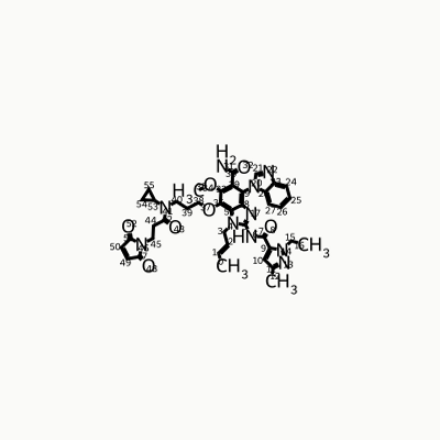 CC=CCn1c(NC(=O)c2cc(C)nn2CC)nc2c(-n3cnc4ccccc43)c(C(N)=O)c(OC)c(OCCCN(C(=O)CCN3C(=O)C=CC3=O)C3CC3)c21